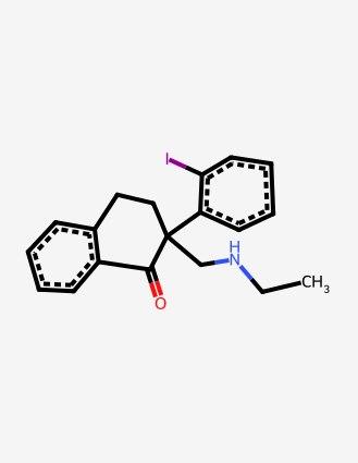 CCNCC1(c2ccccc2I)CCc2ccccc2C1=O